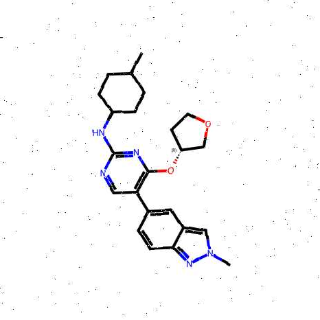 CC1CCC(Nc2ncc(-c3ccc4nn(C)cc4c3)c(O[C@@H]3CCOC3)n2)CC1